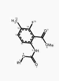 COC(=O)c1c(NC(=O)OC(C)C)ccc(C)c1F